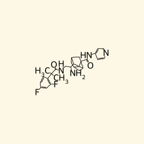 CC(C)(C(=O)NCC(N)C1C2CC3CC1C(C(=O)Nc1ccncc1)(C3)C2)c1ccc(F)cc1F